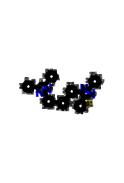 c1ccc(-c2cc(-c3ccccc3)nc(-c3cccc(-c4cccc(-c5cccc(-c6nc(-c7ccccc7)nc7sc8ccccc8c67)c5)c4)c3)n2)cc1